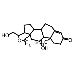 CC12CCC(=O)C=C1CCC1C2[C@@H](O)CC2(C)C(C(O)CO)CCC12